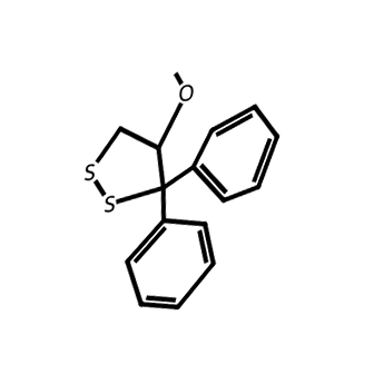 COC1CSSC1(c1ccccc1)c1ccccc1